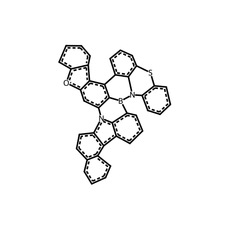 c1ccc2c(c1)Sc1cccc3c1N2B1c2c(cc4oc5ccccc5c4c2-3)-n2c3ccc4ccccc4c3c3cccc1c32